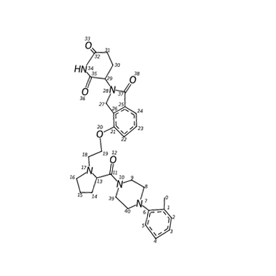 Cc1ccccc1N1CCN(C(=O)C2CCCN2CCOc2cccc3c2CN(C2CCC(=O)NC2=O)C3=O)CC1